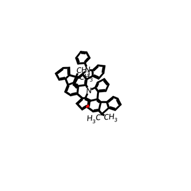 CC1(C)c2ccccc2-c2ccc(-c3ccccc3N(c3ccccc3-c3cccc4c3-c3ccccc3C4(C)C)c3cccc4c3c3ccccc3n4-c3ccccc3)cc21